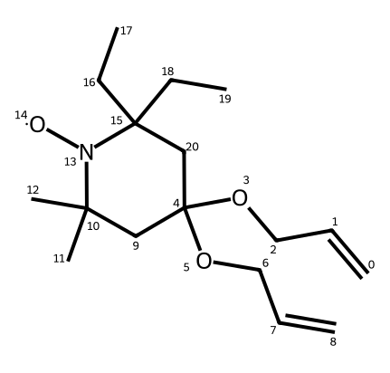 C=CCOC1(OCC=C)CC(C)(C)N([O])C(CC)(CC)C1